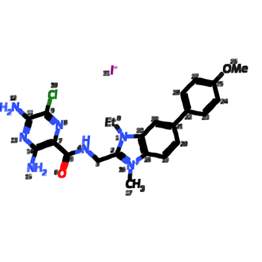 CCn1c(CNC(=O)c2nc(Cl)c(N)nc2N)[n+](C)c2ccc(-c3ccc(OC)cc3)cc21.[I-]